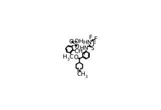 CN1CCC(C(=O)c2cccc(NC(=S)NC(F)(F)F)c2)CC1.Cc1cccc(S(=O)(=O)O)c1C